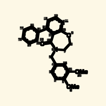 COc1ccc(CN2CCOc3nccc(-c4ccccc4)c3C2=O)cc1OC